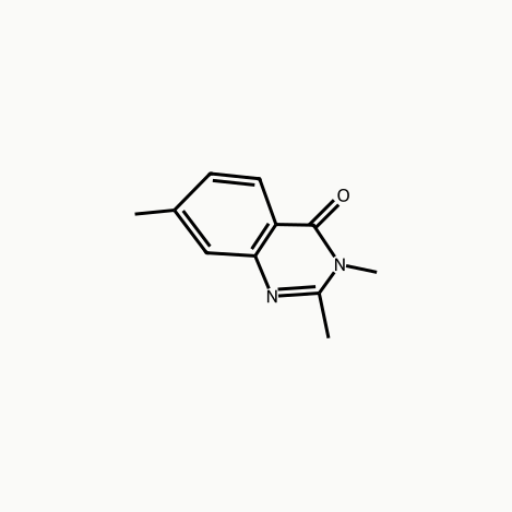 Cc1ccc2c(=O)n(C)c(C)nc2c1